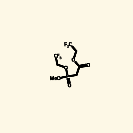 COP(=O)(CC(=O)OCC(F)(F)F)OCC(F)(F)F